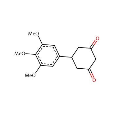 COc1cc(C2CC(=O)CC(=O)C2)cc(OC)c1OC